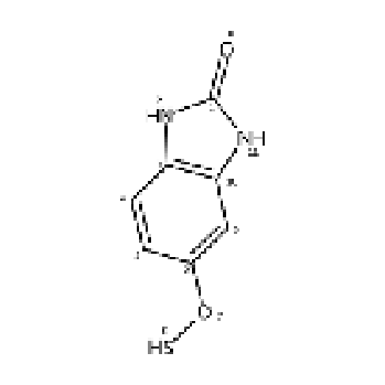 O=c1[nH]c2ccc(OS)cc2[nH]1